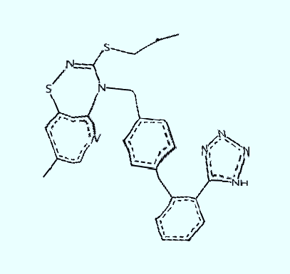 CCCSC1=NSc2cc(C)cnc2N1Cc1ccc(-c2ccccc2-c2nnn[nH]2)cc1